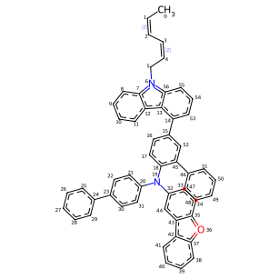 C/C=C\C=C/Cn1c2ccccc2c2c(-c3ccc(N(c4ccc(-c5ccccc5)cc4)c4ccc5oc6ccccc6c5c4)c(-c4ccccc4)c3)cccc21